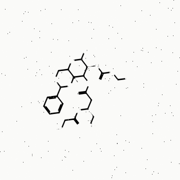 CCCCCCCCCCCC(=O)O[C@H](CCCCCCCCCCC)CC(=O)OC1[C@H](NC(=O)OCC(Cl)(Cl)Cl)C(O)OC2COC(c3ccccc3)O[C@H]21